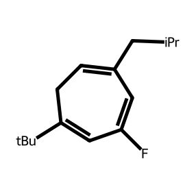 CC(C)CC1=CCC(C(C)(C)C)=CC(F)=C1